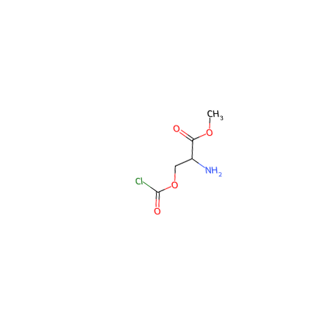 COC(=O)C(N)COC(=O)Cl